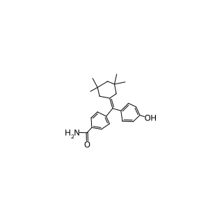 CC1(C)CC(=C(c2ccc(O)cc2)c2ccc(C(N)=O)cc2)CC(C)(C)C1